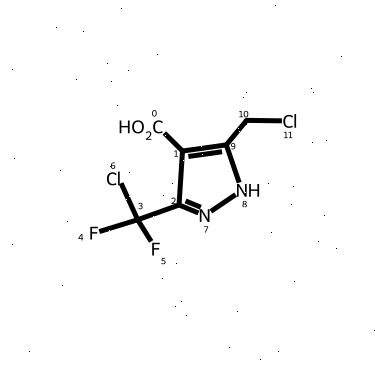 O=C(O)c1c(C(F)(F)Cl)n[nH]c1CCl